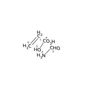 C=C.NC=O.O=C(O)O